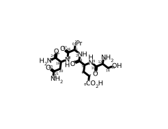 CC(C)C(NC(=O)C(CCC(=O)O)NC(=O)C(N)CO)C(=O)NC(CC(N)=O)C(N)=O